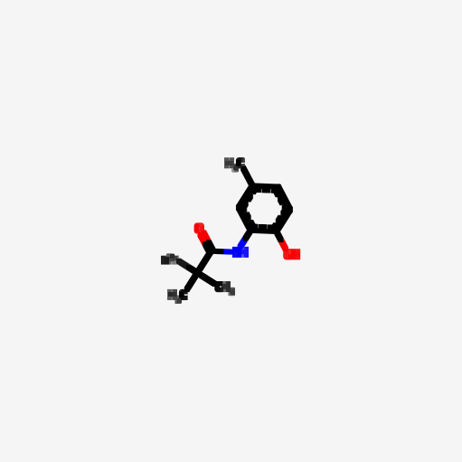 CCCC(C)(C)C(=O)Nc1cc(C)ccc1O